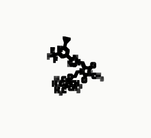 CN1C(=O)C(=Cn2cnc(-c3cc(C4CC4)nc(C(F)(F)F)c3)n2)N(CCO[Si](C)(C)C(C)(C)C)C1=O